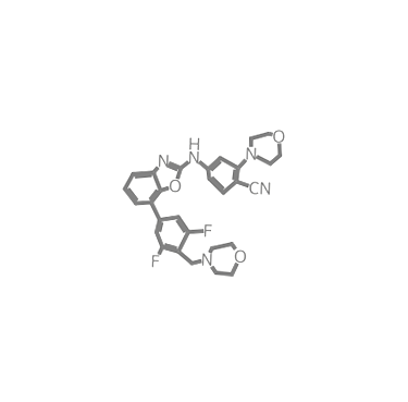 N#Cc1ccc(Nc2nc3cccc(-c4cc(F)c(CN5CCOCC5)c(F)c4)c3o2)cc1N1CCOCC1